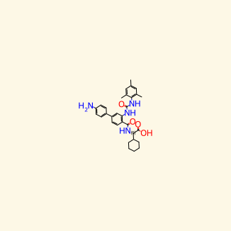 Cc1cc(C)c(NC(=O)Nc2cc(-c3ccc(N)cc3)ccc2C(=O)N[C@H](C(=O)O)C2CCCCC2)c(C)c1